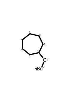 CC[C](C)OC1CCCCCC1